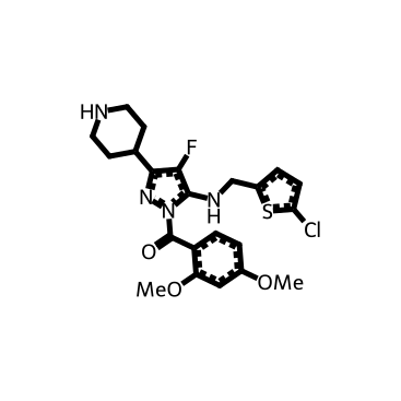 COc1ccc(C(=O)n2nc(C3CCNCC3)c(F)c2NCc2ccc(Cl)s2)c(OC)c1